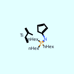 C=CC(=C)C.CCCCCCP(CCCCCC)(CCCCCC)=NC1=CC=CC1.[Ti]